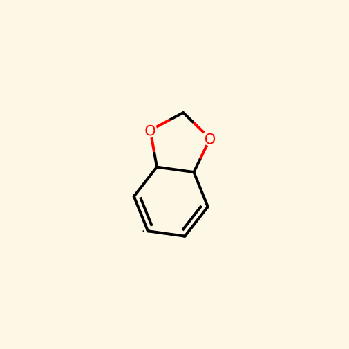 [C]1=CC2OCOC2C=C1